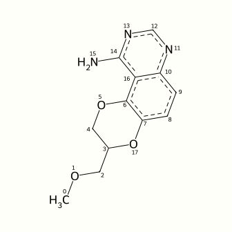 COCC1COc2c(ccc3ncnc(N)c23)O1